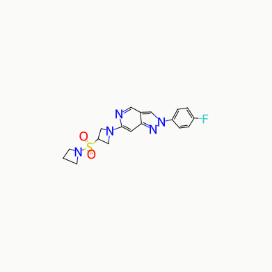 O=S(=O)(C1CN(c2cc3nn(-c4ccc(F)cc4)cc3cn2)C1)N1CCC1